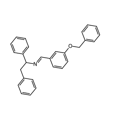 C(=NC(Cc1ccccc1)c1ccccc1)c1cccc(OCc2ccccc2)c1